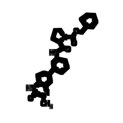 Cc1nc2cc(-c3cccc(NC(=O)C4CCCN4C(=O)OCc4ccccc4)c3)ccc2[nH]c1=O